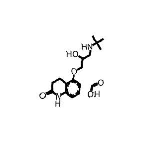 CC(C)(C)NCC(O)COc1cccc2c1CCC(=O)N2.O=CO